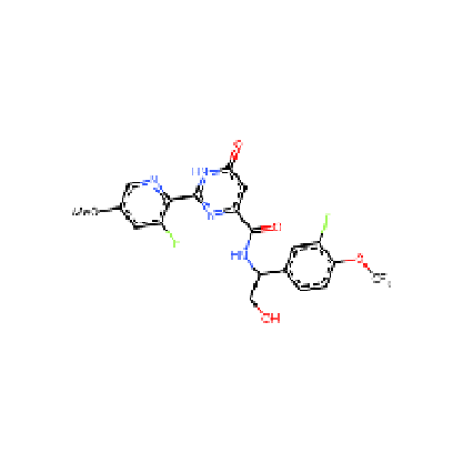 COc1cnc(-c2nc(C(=O)NC(CO)c3ccc(OC(F)(F)F)c(F)c3)cc(=O)[nH]2)c(F)c1